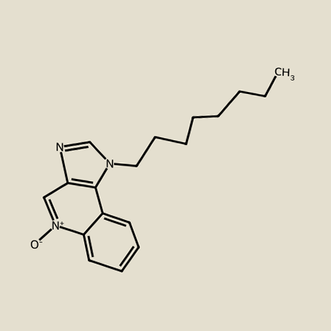 CCCCCCCCn1cnc2c[n+]([O-])c3ccccc3c21